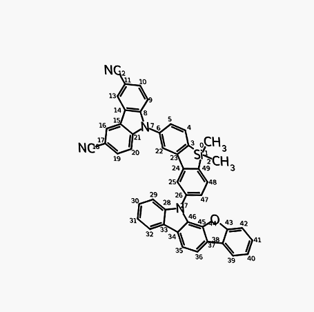 C[Si]1(C)c2ccc(-n3c4ccc(C#N)cc4c4cc(C#N)ccc43)cc2-c2cc(-n3c4ccccc4c4ccc5c6ccccc6oc5c43)ccc21